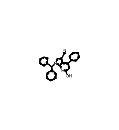 N#Cc1cn(C(c2ccccc2)c2ccccc2)c2nc(O)cc(-c3ccccc3)c12